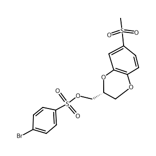 CS(=O)(=O)c1ccc2c(c1)O[C@@H](COS(=O)(=O)c1ccc(Br)cc1)CO2